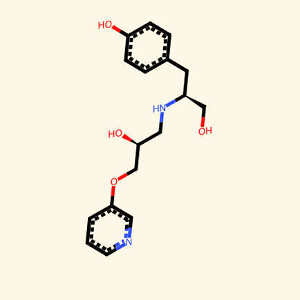 OC[C@H](Cc1ccc(O)cc1)NC[C@H](O)COc1cccnc1